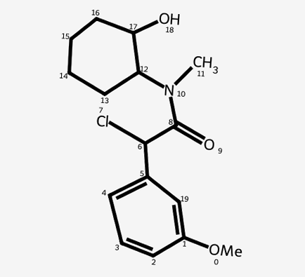 COc1cccc(C(Cl)C(=O)N(C)C2CCCCC2O)c1